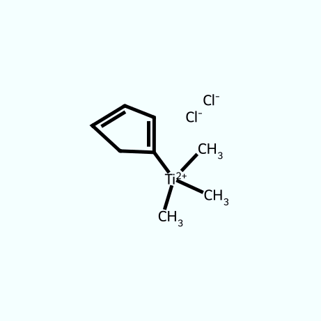 [CH3][Ti+2]([CH3])([CH3])[C]1=CC=CC1.[Cl-].[Cl-]